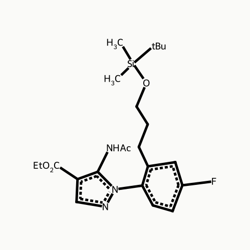 CCOC(=O)c1cnn(-c2ccc(F)cc2CCCO[Si](C)(C)C(C)(C)C)c1NC(C)=O